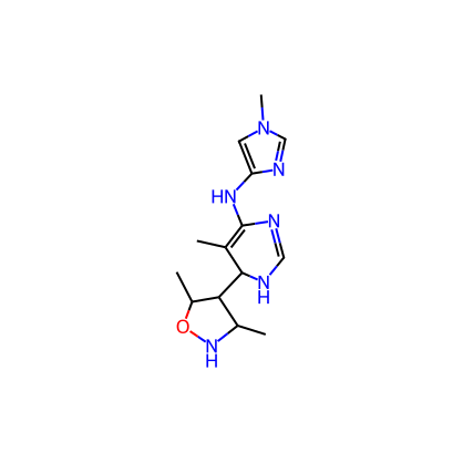 CC1=C(Nc2cn(C)cn2)N=CNC1C1C(C)NOC1C